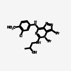 CC(O)CNc1nc(Nc2ccc(C(=O)O)c(Cl)c2)c2nnc(C(C)C)c-2n1C(C)C